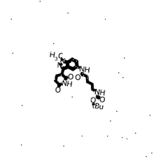 Cn1nc(C2CCC(=O)NC2=O)c2cc(NC(=O)CCCCNC(=O)OC(C)(C)C)ccc21